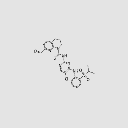 CC(C)S(=O)(=O)c1ccccc1Nc1nc(NC(=O)N2CCCc3ccc(C=O)nc32)ncc1Cl